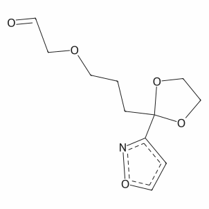 O=CCOCCCC1(c2ccon2)OCCO1